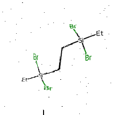 CC[Si](Br)(Br)CC[Si](Br)(Br)CC